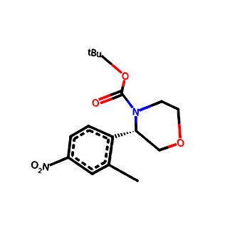 Cc1cc([N+](=O)[O-])ccc1[C@H]1COCCN1C(=O)OC(C)(C)C